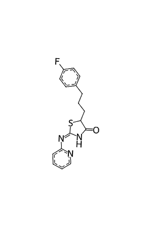 O=C1N/C(=N\c2ccccn2)SC1CCCc1ccc(F)cc1